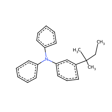 CCC(C)(C)c1cccc(N(c2ccccc2)c2ccccc2)c1